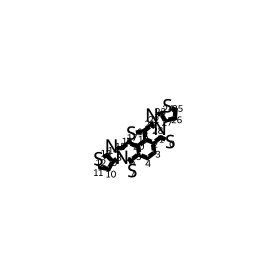 S=c1c2ccc3c(=S)n4c5ccsc5nc4c4sc(c2c34)c2nc3sccc3n12